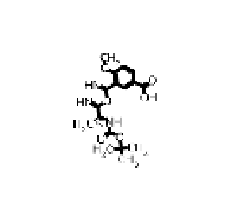 COc1ccc(C(=O)O)cc1C(=N)OC(=N)[C@H](C)NC(=O)OC(C)(C)C